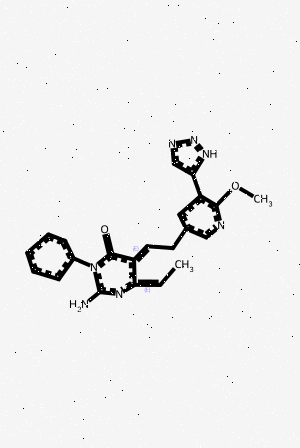 C/C=c1/nc(N)n(-c2ccccc2)c(=O)/c1=C/Cc1cnc(OC)c(-c2cnn[nH]2)c1